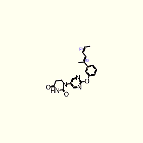 C/C=C\C=C(/C)c1cccc(Oc2ncc(N3CCC(=O)NC3=O)cn2)c1